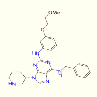 COCCOc1cccc(Nc2nc(NCc3ccccc3)c3ncn(C4CCCNC4)c3n2)c1